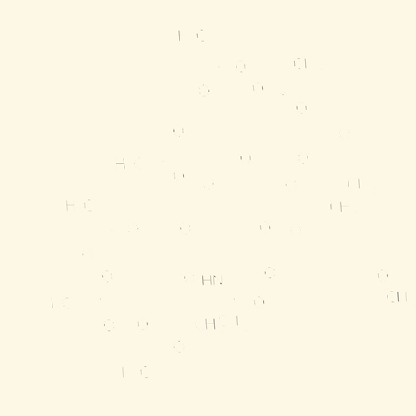 COc1ccc(OC2OC(COC(C)=O)C(OC3OC(COC(C)=O)C(OC(C)=O)C(OC(C)=O)C3OC(C)=O)C(OC3OC(C)C(OC(C)=O)C(OC(C)=O)C3OC(C)=O)C2NC(C)=O)cc1